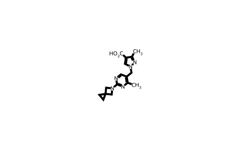 Cc1nc(N2CC3(CC3)C2)ncc1Cn1cc(C(=O)O)c(C)n1